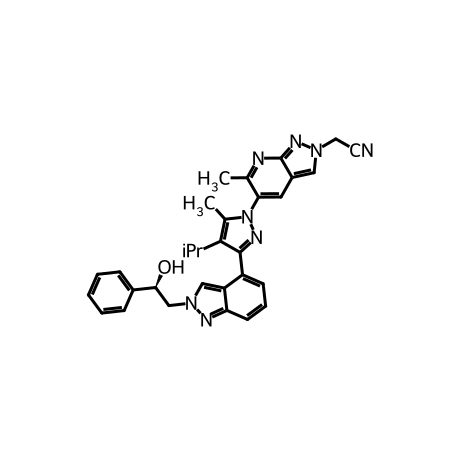 Cc1nc2nn(CC#N)cc2cc1-n1nc(-c2cccc3nn(C[C@H](O)c4ccccc4)cc23)c(C(C)C)c1C